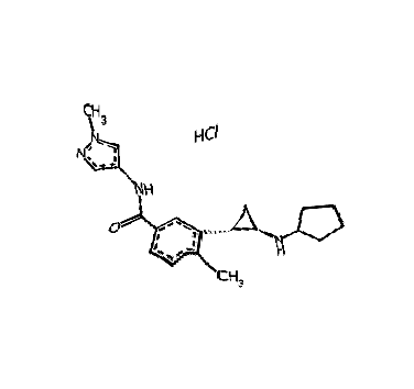 Cc1ccc(C(=O)Nc2cnn(C)c2)cc1[C@@H]1C[C@H]1NC1CCCC1.Cl